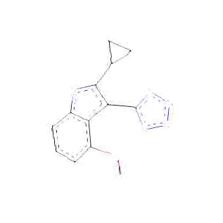 CCOc1c[c]cc2[nH]c(C3CC3)c(-c3nnn[nH]3)c12